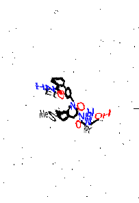 CCNC(=O)c1ccccc1-c1ccc(CN2Cc3ccc(SC)cc3C[C@@H](NC(=O)C(NC[C@@H](C)O)C(C)C)C2=O)cc1